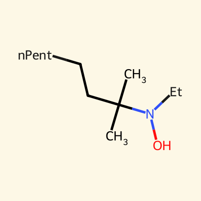 CCCCCCCC(C)(C)N(O)CC